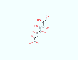 O=C(O)C(=O)C[C@@H](O)[C@H](O)[C@H](O)[C@@H](O)[C@H](O)CO